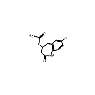 NC(=O)OC1CC(=O)Nc2ccc(Cl)cc2C1